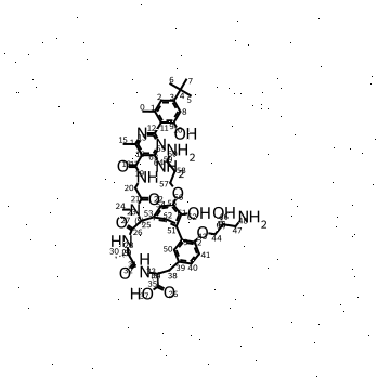 Cc1cc(C(C)(C)C)cc(O)c1-c1nc(C)c(C(=O)NCC(=O)N(C)[C@@H]2C(=O)N[C@@H](C)C(=O)N[C@H](C(=O)O)Cc3ccc(OC[C@H](O)CN)c(c3)-c3cc2cc(OCCCN)c3O)c(N)n1